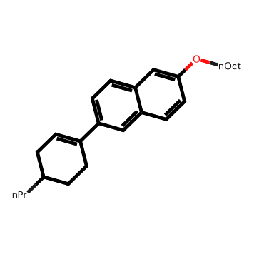 CCCCCCCCOc1ccc2cc(C3=CCC(CCC)CC3)ccc2c1